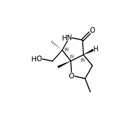 CC1C[C@H]2C(=O)N[C@](C)(CO)[C@@]2(C)O1